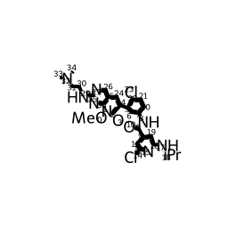 COn1c(=O)c(-c2cc(NC(=O)c3cc(Cl)nc(NC(C)C)c3)ccc2Cl)cc2cnc(NCCN(C)C)nc21